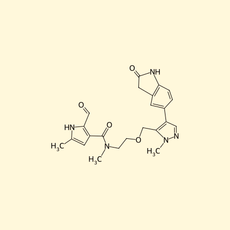 Cc1cc(C(=O)N(C)CCOCc2c(-c3ccc4c(c3)CC(=O)N4)cnn2C)c(C=O)[nH]1